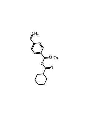 C=Cc1ccc(C(=O)OC(=O)C2CCCCC2)cc1.[Zn]